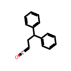 O=C=[C]CC(c1ccccc1)c1ccccc1